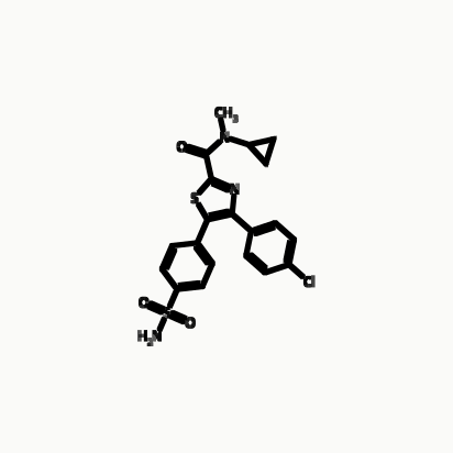 CN(C(=O)c1nc(-c2ccc(Cl)cc2)c(-c2ccc(S(N)(=O)=O)cc2)s1)C1CC1